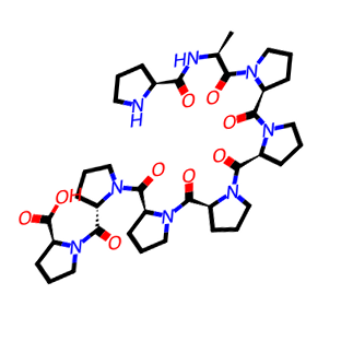 C[C@H](NC(=O)[C@@H]1CCCN1)C(=O)N1CCC[C@H]1C(=O)N1CCC[C@H]1C(=O)N1CCC[C@H]1C(=O)N1CCC[C@H]1C(=O)N1CCC[C@H]1C(=O)N1CCC[C@H]1C(=O)O